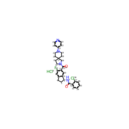 Cl.O=C(N[C@@H]1CCc2cc(F)c(C(=O)N3CCC4(CCN(c5ccncc5)CC4)C3)cc21)c1ccccc1Cl